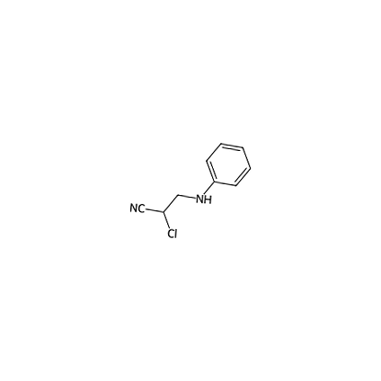 N#CC(Cl)CNc1ccccc1